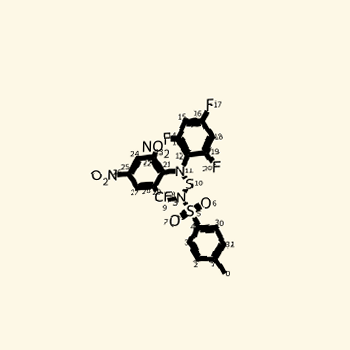 Cc1ccc(S(=O)(=O)N(C)SN(c2c(F)cc(F)cc2F)c2c([N+](=O)[O-])cc([N+](=O)[O-])cc2C(F)(F)F)cc1